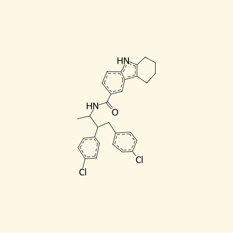 CC(NC(=O)c1ccc2[nH]c3c(c2c1)CCCC3)C(Cc1ccc(Cl)cc1)c1ccc(Cl)cc1